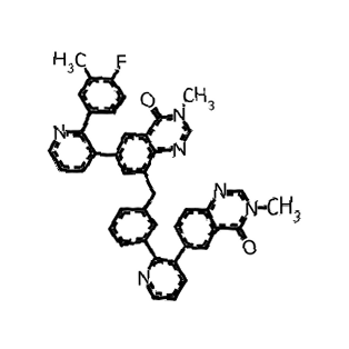 Cc1cc(-c2ncccc2-c2cc(Cc3cccc(-c4ncccc4-c4ccc5ncn(C)c(=O)c5c4)c3)c3ncn(C)c(=O)c3c2)ccc1F